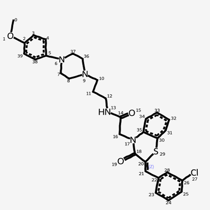 COc1ccc(N2CCN(CCCNC(=O)CN3C(=O)/C(=C/c4cccc(Cl)c4)Sc4ccccc43)CC2)cc1